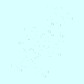 C=C(C)C(=O)Cc1coc(N(C(=O)C(CCOC)N2C(=O)c3cc(Oc4cccc(C)c4)c4c5c(Oc6cccc(C)c6)cc6c7c(cc(Oc8cccc(C)c8)c(c8c(Oc9cccc(C)c9)cc(c3c48)C2=O)c75)C(=O)N(C(CCOC)C(=O)N(c2cc(OC(=O)C(=C)C)co2)c2cc(OC(=O)C(=C)C)co2)C6=O)c2cc(OC(=O)C(=C)C)co2)c1